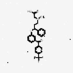 CN(CCC(Oc1cccc(C(=O)c2ccc(C(F)(F)F)cc2)c1)c1ccccc1)CC(=O)O